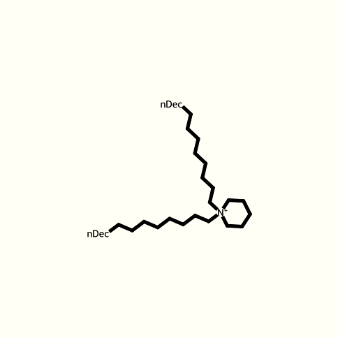 CCCCCCCCCCCCCCCCCC[N+]1(CCCCCCCCCCCCCCCCCC)CCCCC1